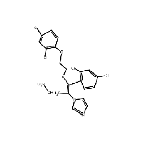 C/C(=C(\OCCOc1ccc(Cl)cc1Cl)c1ccc(Cl)cc1Cl)n1ccnc1.O=[N+]([O-])O